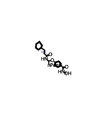 CCCCCC(NC(=O)/C=C/c1ccccc1)Oc1ccc(C(=O)NO)cc1